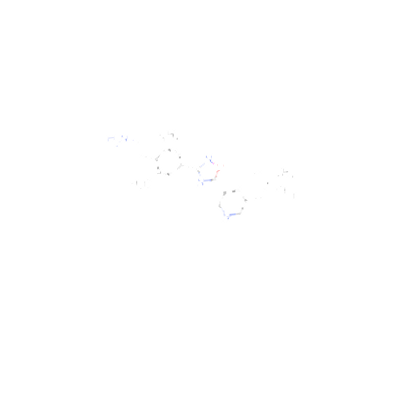 Cc1cc(-c2noc(-c3cncc4c3CCC(C)(C)C4)n2)cc(C)c1CCN